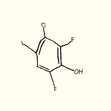 Oc1c(F)cc(I)c(Cl)c1F